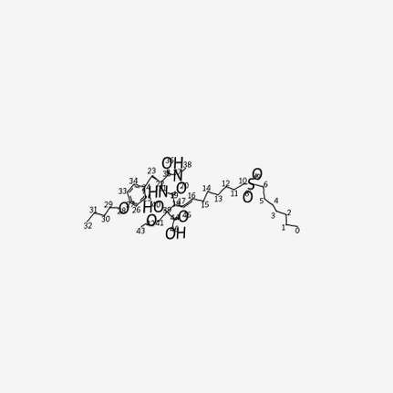 CCCCCCCS(=O)(=O)CCCCCCC=C[C@H](C(=O)N[C@@H](Cc1ccc(OCCCC)cc1)C(=O)NC)[C@@](O)(COC)C(=O)O